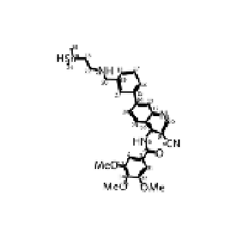 COc1cc(C(=O)Nc2c(C#N)cnc3cc(-c4cccc(CNC[CH2][SnH]([CH3])[CH3])c4)ccc23)cc(OC)c1OC